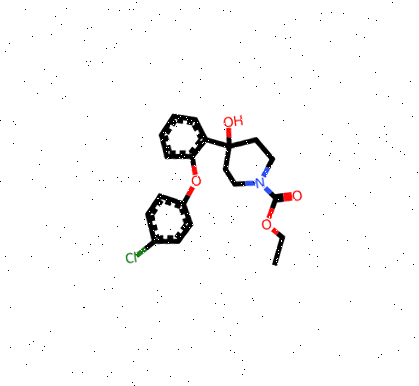 CCOC(=O)N1CCC(O)(c2ccccc2Oc2ccc(Cl)cc2)CC1